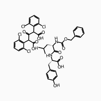 CC(C)C[C@H](NC(=O)OCc1ccccc1)C(=O)N[C@@H](Cc1ccc(O)cc1)C(=O)O.O=C(O)C(C(=O)C(C(=O)O)c1c(Cl)cccc1Cl)c1c(Cl)cccc1Cl